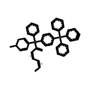 C=C(/C=C\C=C/C)[Si](C1=CCC(C)C=C1)(c1ccccc1)c1ccc(S(c2cc#ccc2)(c2ccccc2)c2ccccc2)cc1